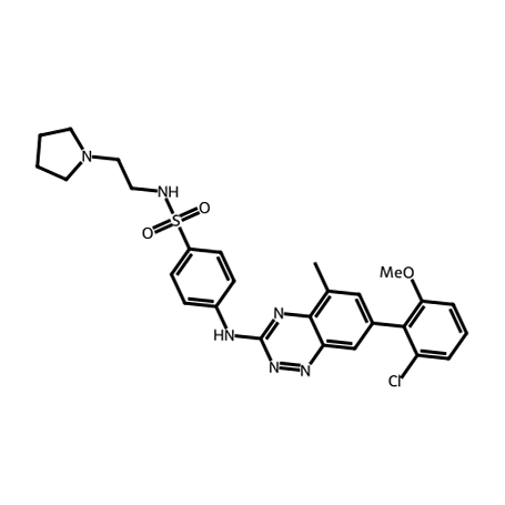 COc1cccc(Cl)c1-c1cc(C)c2nc(Nc3ccc(S(=O)(=O)NCCN4CCCC4)cc3)nnc2c1